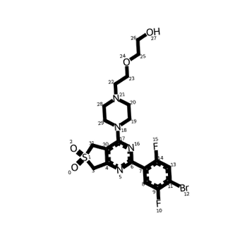 O=S1(=O)Cc2nc(-c3cc(F)c(Br)cc3F)nc(N3CCN(CCOCCO)CC3)c2C1